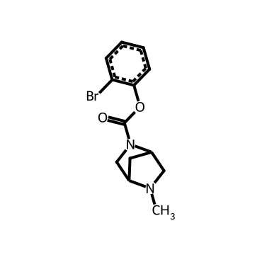 CN1CC2CC1CN2C(=O)Oc1ccccc1Br